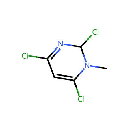 CN1C(Cl)=CC(Cl)=NC1Cl